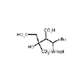 CCCCCCCC(CCCC)C(C(=O)O)C(O)(CC(=O)O)C(=O)O